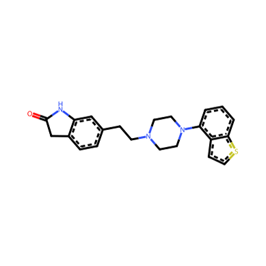 O=C1Cc2ccc(CCN3CCN(c4cccc5sccc45)CC3)cc2N1